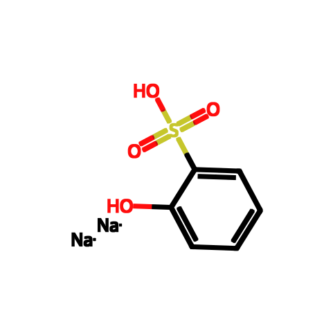 O=S(=O)(O)c1ccccc1O.[Na].[Na]